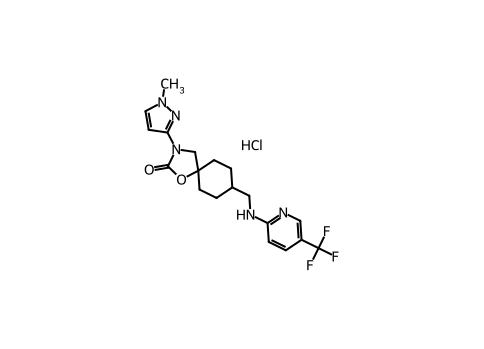 Cl.Cn1ccc(N2CC3(CCC(CNc4ccc(C(F)(F)F)cn4)CC3)OC2=O)n1